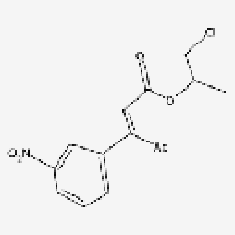 CC(=O)C(=CC(=O)OC(C)CCl)c1cccc([N+](=O)[O-])c1